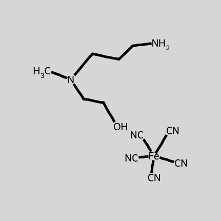 CN(CCO)CCCN.N#[C][Fe]([C]#N)([C]#N)([C]#N)[C]#N